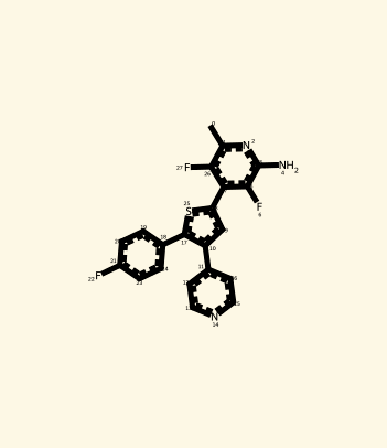 Cc1nc(N)c(F)c(-c2cc(-c3ccncc3)c(-c3ccc(F)cc3)s2)c1F